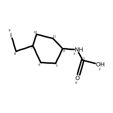 O=C(O)NC1CCC(CI)CC1